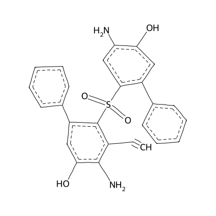 C#Cc1c(N)c(O)cc(-c2ccccc2)c1S(=O)(=O)c1cc(N)c(O)cc1-c1ccccc1